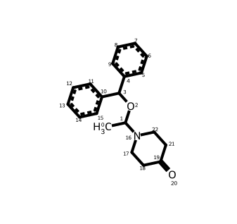 CC(OC(c1ccccc1)c1ccccc1)N1CCC(=O)CC1